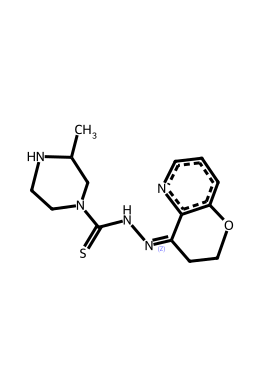 CC1CN(C(=S)N/N=C2/CCOc3cccnc32)CCN1